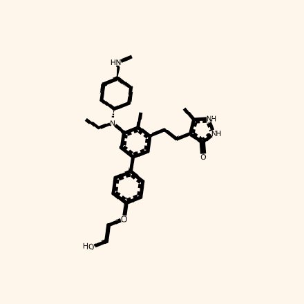 CCN(c1cc(-c2ccc(OCCO)cc2)cc(CCc2c(C)[nH][nH]c2=O)c1C)[C@H]1CC[C@H](NC)CC1